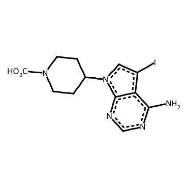 Nc1ncnc2c1c(I)cn2C1CCN(C(=O)O)CC1